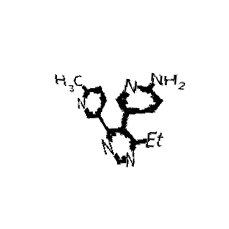 CCc1ncnc(-c2ccc(C)nc2)c1-c1ccc(N)nc1